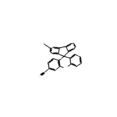 N#Cc1ccc2c(c1)Oc1ccccc1C21c2ccccc2-c2cc(Cl)ccc21